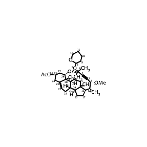 CO[C@@H](C#CC(C)(C)OC1CCCCO1)[C@@H](C)[C@H]1CC[C@H]2[C@@H]3CC=C4C[C@@H](OC(C)=O)C[C@H](OC(C)=O)[C@]4(C)[C@H]3CC[C@]12C